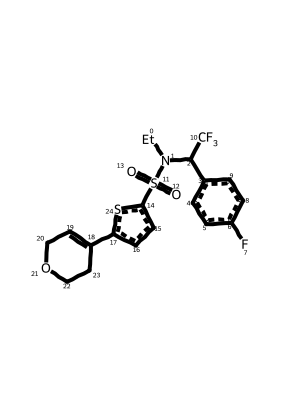 CCN(C(c1ccc(F)cc1)C(F)(F)F)S(=O)(=O)c1ccc(C2=CCOCC2)s1